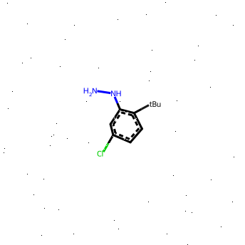 CC(C)(C)c1ccc(Cl)cc1NN